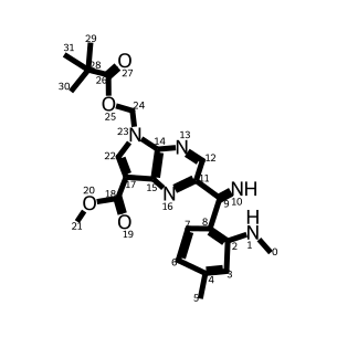 CNc1cc(C)ccc1C(=N)c1cnc2c(n1)c(C(=O)OC)cn2COC(=O)C(C)(C)C